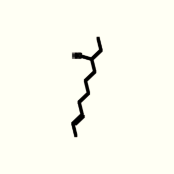 CC=CCCCCC(O)CC